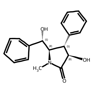 CN1C(=O)[C@H](O)[C@@H](c2ccccc2)[C@@H]1[C@@H](O)c1ccccc1